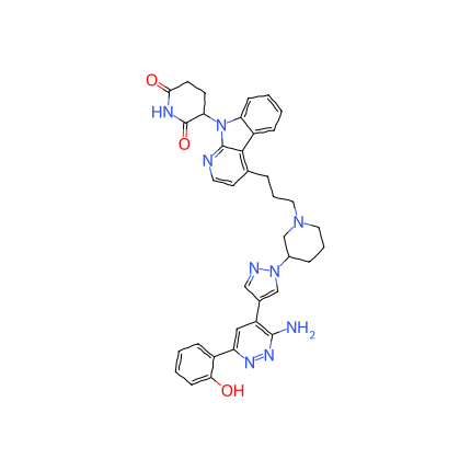 Nc1nnc(-c2ccccc2O)cc1-c1cnn(C2CCCN(CCCc3ccnc4c3c3ccccc3n4C3CCC(=O)NC3=O)C2)c1